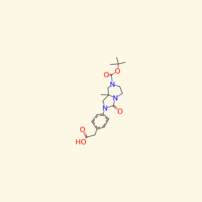 CC(C)(C)OC(=O)N1CCN2C(=O)N(c3ccc(CC(=O)O)cc3)CC2(C)C1